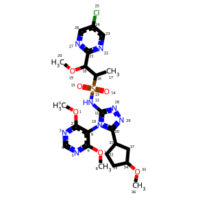 COc1ncnc(OC)c1-n1c(NS(=O)(=O)C(C)C(OC)c2ncc(Cl)cn2)nnc1C1CCC(OC)C1